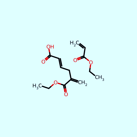 C=C(CC=CC(=O)O)C(=O)OCC.C=CC(=O)OCC